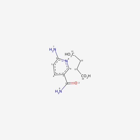 NC(=O)c1ccc(N)nc1.O=C(O)CCC(=O)O